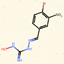 N=C(NO)NN=Cc1ccc(Br)c([N+](=O)[O-])c1